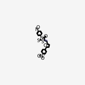 O=Nc1ccc(N2C(=O)/C(=C/c3ccc(-c4ccc([N+](=O)[O-])cc4)o3)SC2=S)cc1